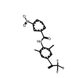 C=C(c1cc(C)c(NC(=O)c2cccc([N+](=O)[O-])c2)c(C)c1)C(F)(F)F